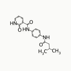 CC(C)CC(=O)Nc1ccc(NC(=O)c2ccc[nH]c2=O)cc1